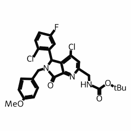 COc1ccc(CN2C(=O)c3nc(CNC(=O)OC(C)(C)C)cc(Cl)c3C2c2cc(F)ccc2Cl)cc1